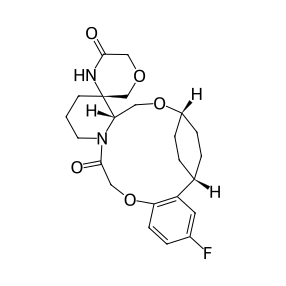 O=C1COC[C@@]2(CCCN3C(=O)COc4ccc(F)cc4[C@H]4CC[C@H](CC4)OC[C@H]32)N1